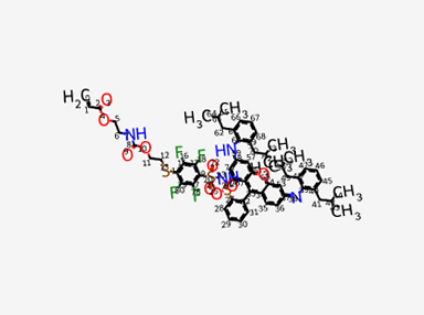 C=CC(=O)OCCNC(=O)OCCSc1c(F)c(F)c(S(=O)(=O)NS(=O)(=O)c2ccccc2-c2c3cc/c(=N/c4c(CC(C)C)cccc4CC(C)C)cc-3oc3cc(Nc4c(CC(C)C)cccc4CC(C)C)ccc23)c(F)c1F